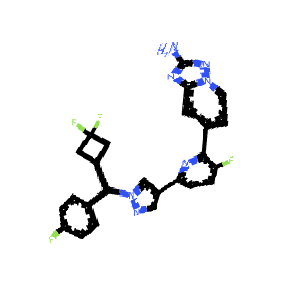 Nc1nc2cc(-c3nc(-c4cnn(C(c5ccc(F)cc5)C5CC(F)(F)C5)c4)ccc3F)ccn2n1